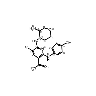 NC(=O)c1cc(F)c(N[C@@H]2CCOC[C@@H]2N)nc1Nc1ccc(Cl)cc1